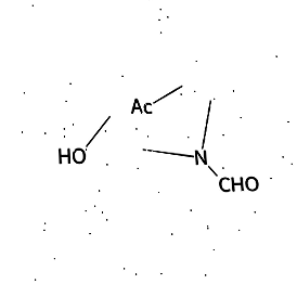 CC(C)=O.CN(C)C=O.CO